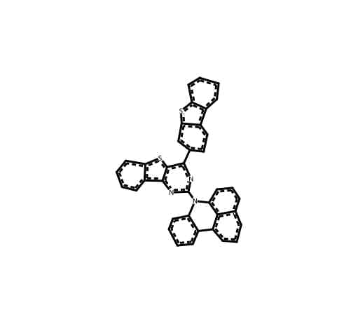 c1ccc2c(c1)-c1cccc3cccc(c13)N2c1nc(-c2ccc3c(c2)sc2ccccc23)c2sc3ccccc3c2n1